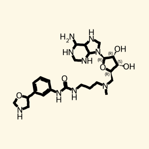 CN(CCCNC(=O)Nc1cccc(C2CNCO2)c1)C[C@H]1O[C@@H](N2CNC3C(N)NCNC32)[C@H](O)[C@@H]1O